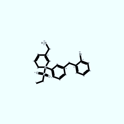 CCS(=O)(=O)[N+]1(c2cccc(Cc3ccccc3Br)c2)C=C(CN)C=CC1